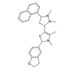 CC1=C(C2CC(c3cccc4ccccc34)N(C)N2C)SC(c2ccc3c(c2)CCO3)N1C